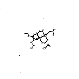 CCOc1cc2c(cc1OCC)[C@]1(CC[C@@H](C(=O)O)CC1)N(CCN(C)C)CC2